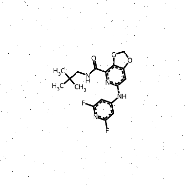 CC(C)(C)CNC(=O)c1nc(Nc2cc(F)nc(F)c2)cc2c1OCO2